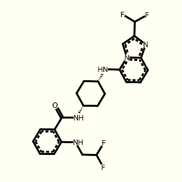 O=C(N[C@H]1CC[C@@H](Nc2cccc3nc(C(F)F)cn23)CC1)c1ccccc1NCC(F)F